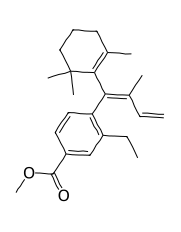 C=C/C(C)=C(/C1=C(C)CCCC1(C)C)c1ccc(C(=O)OC)cc1CC